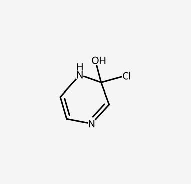 OC1(Cl)C=NC=CN1